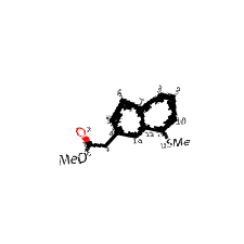 COC(=O)Cc1ccc2cccc(SC)c2c1